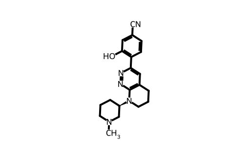 CN1CCC[C@@H](N2CCCc3cc(-c4ccc(C#N)cc4O)nnc32)C1